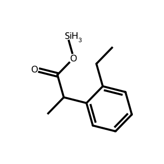 CCc1ccccc1C(C)C(=O)O[SiH3]